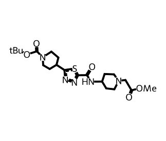 COC(=O)CN1CCC(NC(=O)c2nnc(C3CCN(C(=O)OC(C)(C)C)CC3)s2)CC1